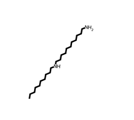 CCCCCCCCCCNCCCCCCCCCCCN